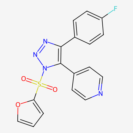 O=S(=O)(c1ccco1)n1nnc(-c2ccc(F)cc2)c1-c1ccncc1